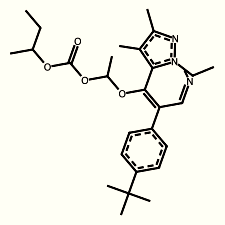 CCC(C)OC(=O)OC(C)O/C(=C(/C=N\C)c1ccc(C(C)(C)C)cc1)c1c(C)c(C)nn1CC